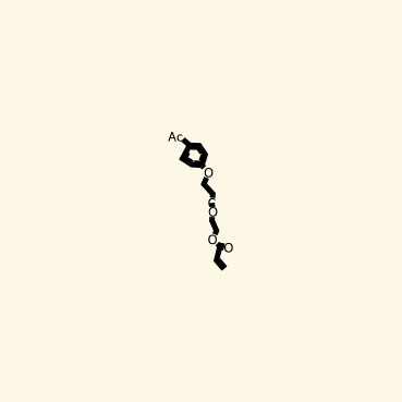 C=CC(=O)OCCOCCCOc1ccc(C(C)=O)cc1